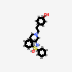 O=S(=N[C@@H]1CCCN(CCc2ccc(O)cc2)C1)(c1ccccc1)c1ccccc1